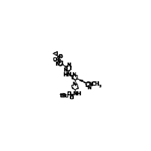 Cn1cc(C#Cc2cnc(Nc3ccnc(-c4cnn(S(=O)(=O)C5CC5)c4)n3)cc2N2CCC(NC(=O)OC(C)(C)C)CC2)cn1